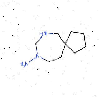 NN1CCC2(CCCC2)CNC1